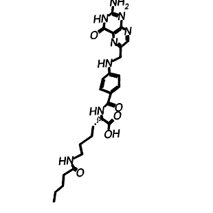 CCCCC(=O)NCCCC[C@H](NC(=O)c1ccc(NCc2cnc3nc(N)[nH]c(=O)c3n2)cc1)C(=O)O